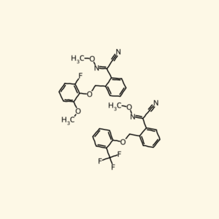 CON=C(C#N)c1ccccc1COc1c(F)cccc1OC.CON=C(C#N)c1ccccc1COc1ccccc1C(F)(F)F